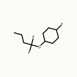 CCCC(F)(F)OC1CCC(F)CC1